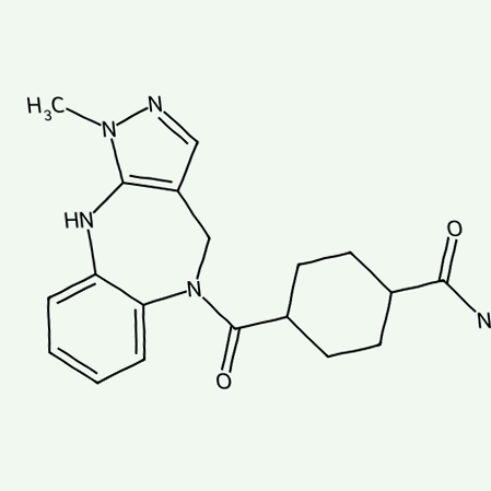 Cn1ncc2c1Nc1ccccc1N(C(=O)C1CCC(C(N)=O)CC1)C2